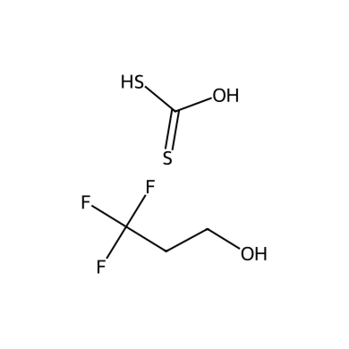 OC(=S)S.OCCC(F)(F)F